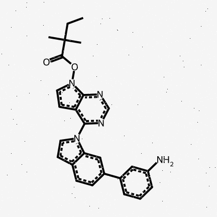 CCC(C)(C)C(=O)On1ccc2c(-n3ccc4ccc(-c5cccc(N)c5)cc43)ncnc21